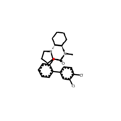 CN(C(=O)Cc1ccccc1-c1ccc(Cl)c(Cl)c1)[C@@H]1CCCC[C@H]1N1CCCC1